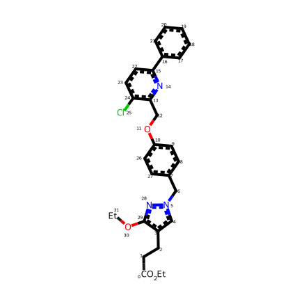 CCOC(=O)CCc1cn(Cc2ccc(OCc3nc(-c4ccccc4)ccc3Cl)cc2)nc1OCC